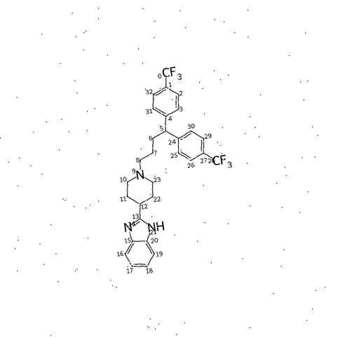 FC(F)(F)c1ccc(C(CCCN2CCC(c3nc4ccccc4[nH]3)CC2)c2ccc(C(F)(F)F)cc2)cc1